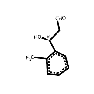 O=CC[C@H](O)c1ccccc1C(F)(F)F